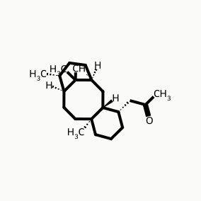 CC(=O)C[C@@H]1CCC[C@@]2(C)CC[C@H]3[C@H](C)CC[C@@H](C[C@H]12)C3(C)C